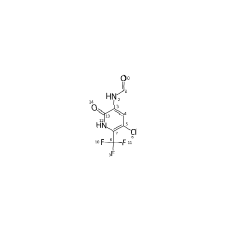 O=CNc1cc(Cl)c(C(F)(F)F)[nH]c1=O